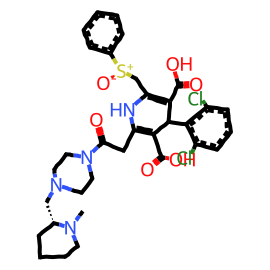 CN1CCCC[C@@H]1CN1CCN(C(=O)CC2=C(C(=O)O)C(c3c(Cl)cccc3Cl)C(C(=O)O)=C(C[S@+]([O-])c3ccccc3)N2)CC1